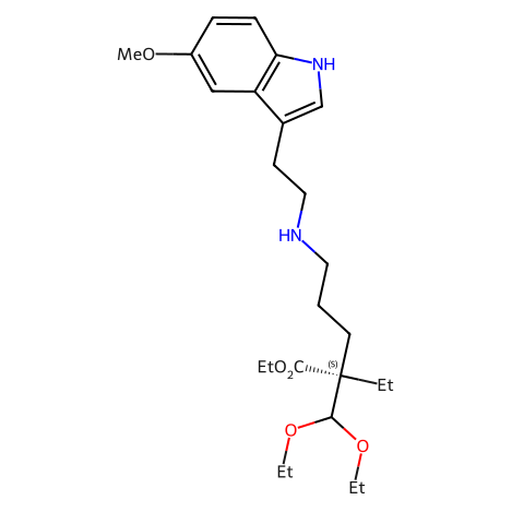 CCOC(=O)[C@@](CC)(CCCNCCc1c[nH]c2ccc(OC)cc12)C(OCC)OCC